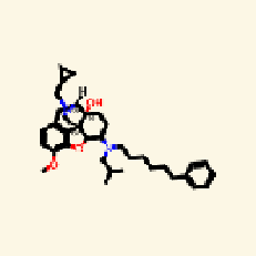 COc1ccc2c3c1OC1C(N(CCCCCCc4ccccc4)CC(C)C)CC[C@@]4(O)[C@@H](C2)N(CC2CC2)CC[C@]314